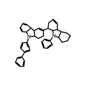 C1=CC2C3C=C(C4CC=CC5C6CCCCC6N(c6ccccc6)C45)CCC3N(c3ccc(-c4ccccc4)cc3)C2C=C1